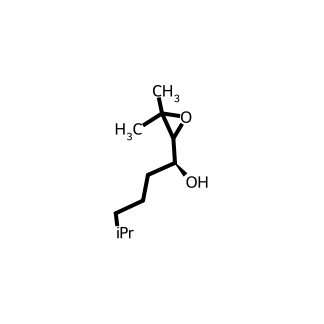 CC(C)CCC[C@H](O)C1OC1(C)C